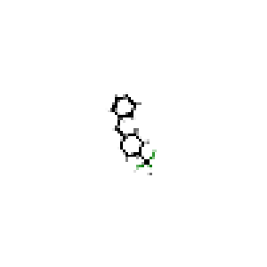 FC(F)(F)C1CCC(Cc2ccccc2)CC1